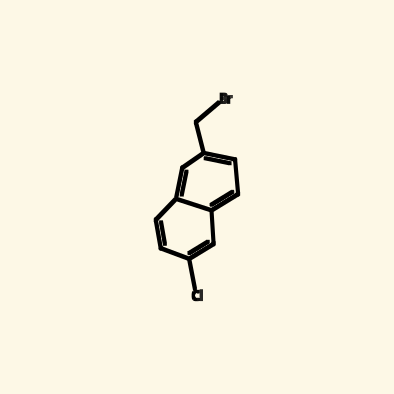 Clc1ccc2cc(CBr)ccc2c1